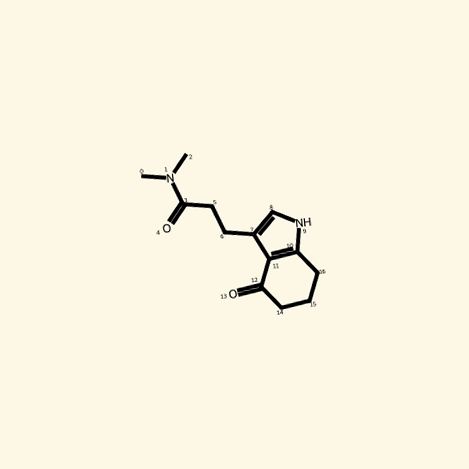 CN(C)C(=O)CCc1c[nH]c2c1C(=O)CCC2